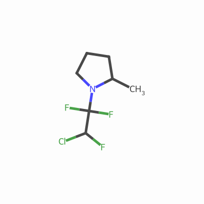 CC1CCCN1C(F)(F)C(F)Cl